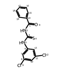 O=C(NC(=S)Nc1cc(Cl)cc(Cl)c1)c1ccccc1